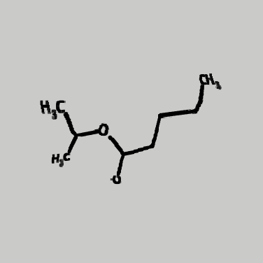 CCCCC([O])OC(C)C